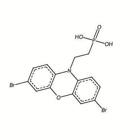 O=P(O)(O)CCN1c2ccc(Br)cc2Oc2cc(Br)ccc21